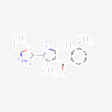 CCc1nnc(-c2[nH]c(C)c(C(=O)c3cccc(C)c3)c2C)o1